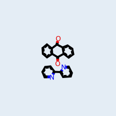 O=C1c2ccccc2C(=O)c2ccccc21.c1ccc(-c2ccccn2)nc1